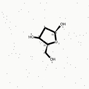 OC[C@@H]1O[C@H](O)CC1O